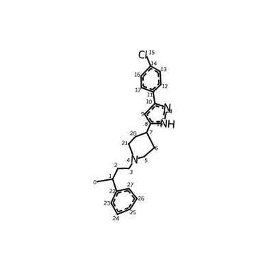 CC(CCN1CCC(c2cc(-c3ccc(Cl)cc3)n[nH]2)CC1)c1ccccc1